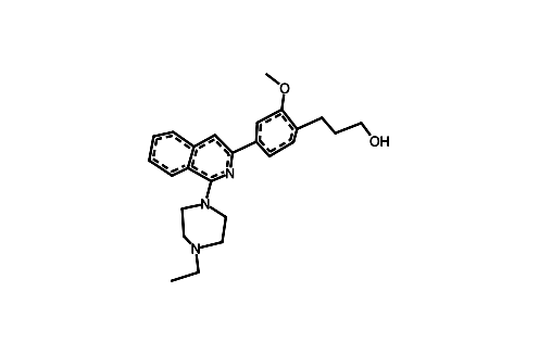 CCN1CCN(c2nc(-c3ccc(CCCO)c(OC)c3)cc3ccccc23)CC1